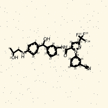 CC(O)CNc1ccc(C(O)c2cccc(NC(=O)c3cc(C(F)(F)F)nn3-c3cccc(C#N)c3)c2)cc1